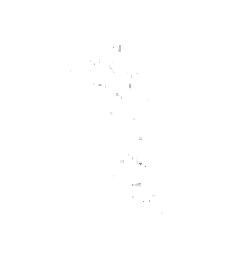 CCCc1nc2c(N)nc(C)c(C)c2n1CCCCN(NC(=O)OC(C)(C)C)OC